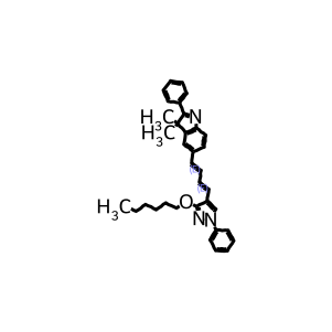 CCCCCCOc1nn(-c2ccccc2)cc1/C=C/C=C/c1ccc2c(c1)C(C)(C)C(c1ccccc1)=N2